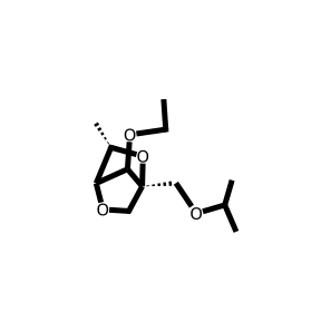 CCOC1C2OC[C@]1(COC(C)C)O[C@H]2C